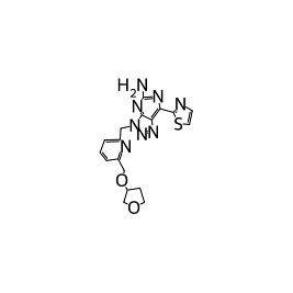 Nc1nc(-c2nccs2)c2nnn(Cc3cccc(COC4CCOC4)n3)c2n1